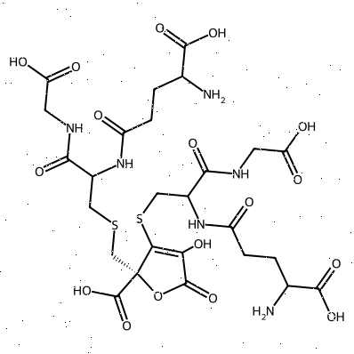 NC(CCC(=O)NC(CSC[C@@]1(C(=O)O)OC(=O)C(O)=C1SCC(NC(=O)CCC(N)C(=O)O)C(=O)NCC(=O)O)C(=O)NCC(=O)O)C(=O)O